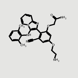 Cc1cccc(C)c1Nc1c(-c2c(C#N)cc(OCCN)cc2OCC(N)=O)nc2ccccn12